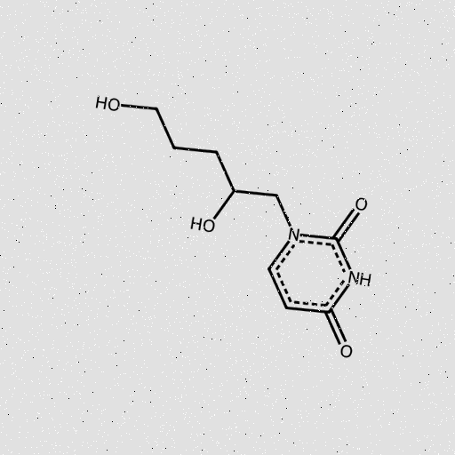 O=c1ccn(CC(O)CCCO)c(=O)[nH]1